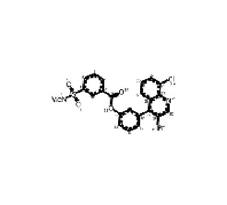 CNS(=O)(=O)c1cccc(C(=O)Oc2cccc(-c3c(C(C)C)cnc4c(Cl)cccc34)c2)c1